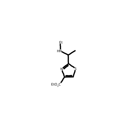 CCNC(C)c1nc(C(=O)OCC)cs1